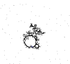 C=C[C@@H]1C[C@]1(NC(=O)[C@@H]1C[C@@H]2CN1C(=O)[C@H](C(C)(C)C)NC(=O)COCCCC/C=C/c1ncccc1O2)C(=O)NS(=O)(=O)C1CC1